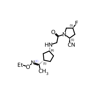 CCO/N=C(\C)[C@H]1CC[C@@H](NCC(=O)N2C[C@@H](F)C[C@H]2C#N)C1